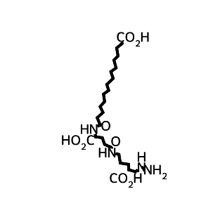 NN[C@@H](CCCCNC(=O)CC[C@H](NC(=O)CCCCCCCCCCCCCCC(=O)O)C(=O)O)C(=O)O